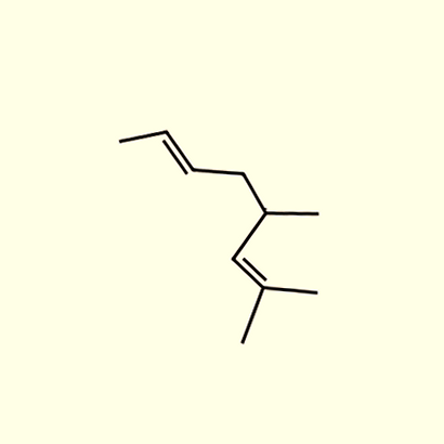 CC=CC[C](C)C=C(C)C